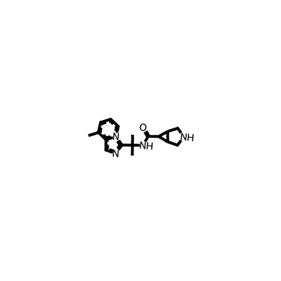 Cc1cccn2c(C(C)(C)NC(=O)C3C4CNCC43)ncc12